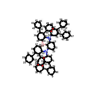 c1ccc(-c2ccc(N3c4cccc5c4B(c4ccc(-c6ccccc6)c(-c6ccccc6)c43)c3ccc(-c4ccccc4)c(-c4ccccc4)c3N5c3ccc(-c4ccccc4)c(-c4ccccc4)c3)cc2-c2ccccc2)cc1